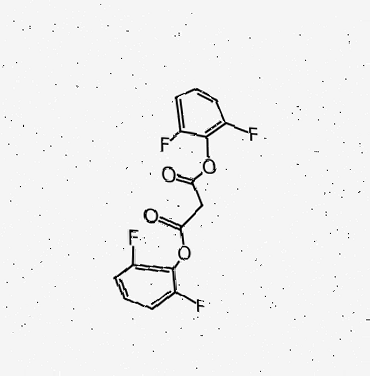 O=C(CC(=O)Oc1c(F)cccc1F)Oc1c(F)cccc1F